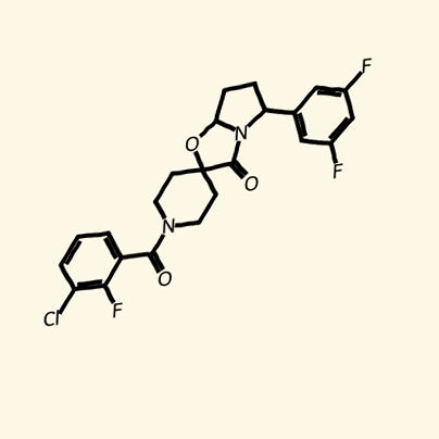 O=C(c1cccc(Cl)c1F)N1CCC2(CC1)OC1CCC(c3cc(F)cc(F)c3)N1C2=O